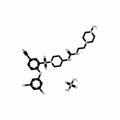 CN1CCN(CCNC(=O)NC2CCN(S(=O)(=O)c3cc(C#N)ccc3Oc3cc(Cl)cc(Cl)c3)CC2)CC1.CS(=O)(=O)O